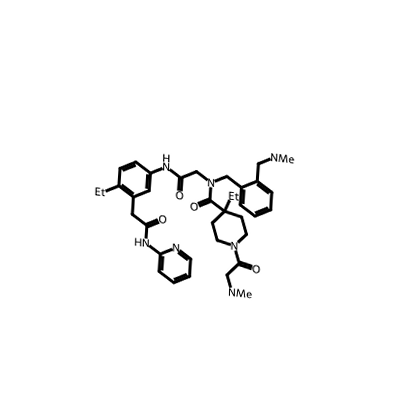 CCc1ccc(NC(=O)CN(Cc2ccccc2CNC)C(=O)C2(CC)CCN(C(=O)CNC)CC2)cc1CC(=O)Nc1ccccn1